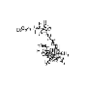 CCOCCOCCNC(C)(C)C(=O)COCCOCCNC(C)(C)C(=O)C(C)(C)CC(C)(C)CS(=O)(=O)C(C)(C)CC(C)(C)C